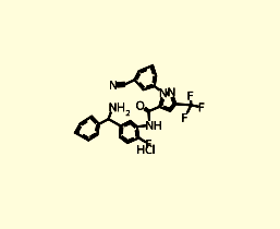 Cl.N#Cc1cccc(-n2nc(C(F)(F)F)cc2C(=O)Nc2cc(C(N)c3ccccc3)ccc2F)c1